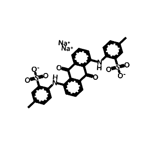 Cc1ccc(Nc2cccc3c2C(=O)c2cccc(Nc4ccc(C)cc4S(=O)(=O)[O-])c2C3=O)c(S(=O)(=O)[O-])c1.[Na+].[Na+]